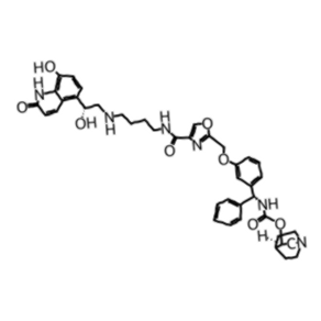 O=C(N[C@@H](c1ccccc1)c1cccc(OCc2nc(C(=O)NCCCCNC[C@H](O)c3ccc(O)c4[nH]c(=O)ccc34)co2)c1)O[C@H]1CN2CCC1CC2